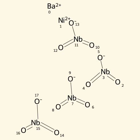 [Ba+2].[Ni+2].[O]=[Nb](=[O])[O-].[O]=[Nb](=[O])[O-].[O]=[Nb](=[O])[O-].[O]=[Nb](=[O])[O-]